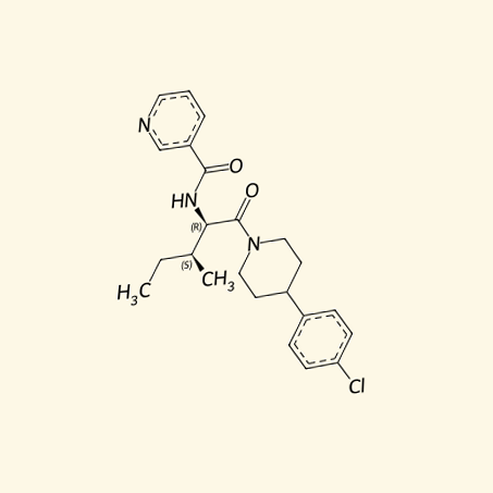 CC[C@H](C)[C@@H](NC(=O)c1cccnc1)C(=O)N1CCC(c2ccc(Cl)cc2)CC1